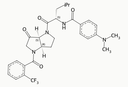 CC(C)C[C@H](NC(=O)c1ccc(N(C)C)cc1)C(=O)N1CC[C@@H]2[C@H]1C(=O)CN2C(=O)c1ccccc1C(F)(F)F